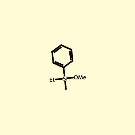 C[CH][Si](C)(OC)c1ccccc1